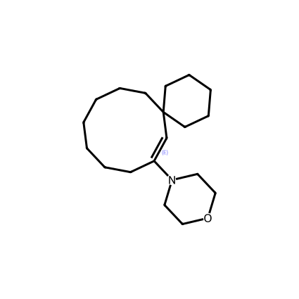 C1=C(/N2CCOCC2)CCCCCCCC/12CCCCC2